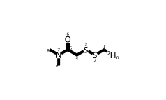 [2H]CSSCC(=O)N(C)C